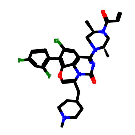 C=CC(=O)N1C[C@H](C)N(c2nc(=O)n3c4c(c(-c5ccc(F)cc5F)c(Cl)cc24)OC=C3CC2CCN(C)CC2)C[C@H]1C